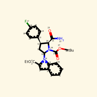 CCOC(=O)c1cc2ccccc2n1C1C[C@@H](c2ccc(F)cc2)[C@@H](C(N)=O)N1C(=O)OC(C)(C)C